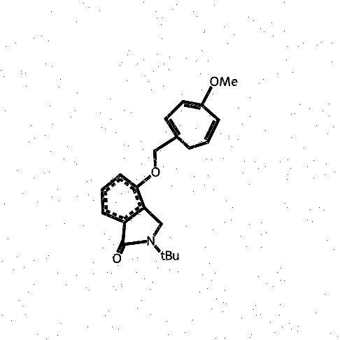 COC1=CC=C(COc2cccc3c2CN(C(C)(C)C)C3=O)CC=C1